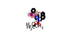 C[C@H]1CN([C@@H](Cc2ccc3c(c2)CCC3)C(=O)OC(C)(C)C)CCN1S(=O)(=O)c1ccccc1[N+](=O)[O-]